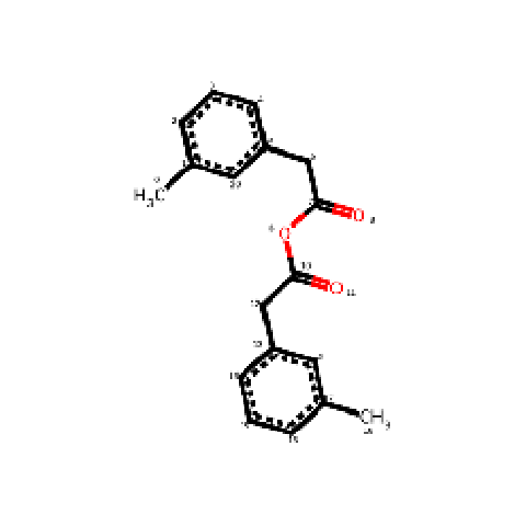 Cc1cccc(CC(=O)OC(=O)Cc2cccc(C)c2)c1